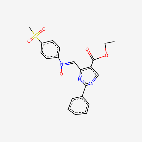 CCOC(=O)c1cnc(-c2ccccc2)nc1C=[N+]([O-])c1ccc(S(C)(=O)=O)cc1